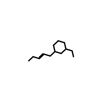 CCC=CCC1CCCC(CC)C1